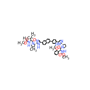 COC(=O)NC(C(=O)N1C[C@H](C)C[C@H]1c1ncc(-c2ccc3cc(-c4ccc(-c5cnc([C@@H]6CCCN6C(=O)[C@H](NC(=O)OC)c6ccccc6OC)[nH]5)cc4)ccc3c2)[nH]1)C(C)C